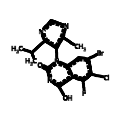 Cc1ncnc(C(C)C)c1-n1c(=O)nc(O)c2c(F)c(Cl)c(Br)cc21